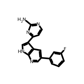 Nc1nccc(-c2c[nH]c3ncc(-c4cccc(F)c4)cc23)n1